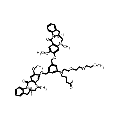 COCCOCCOCCN(CCCC(=O)I)c1cc(COc2cc3c(cc2OC)C(=O)N2c4ccccc4C[C@H]2CN3C)cc(COc2cc3c(cc2OC)C(=O)N2c4ccccc4C[C@H]2CN3C)c1